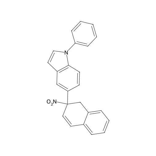 O=[N+]([O-])C1(c2ccc3c(ccn3-c3ccccc3)c2)C=Cc2ccccc2C1